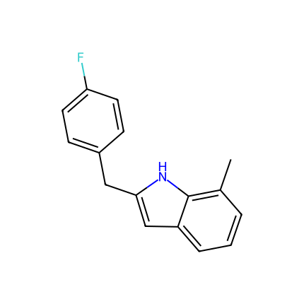 Cc1cccc2cc(Cc3ccc(F)cc3)[nH]c12